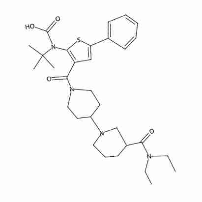 CCN(CC)C(=O)C1CCCN(C2CCN(C(=O)c3cc(-c4ccccc4)sc3N(C(=O)O)C(C)(C)C)CC2)C1